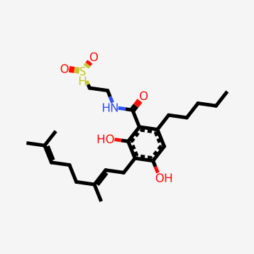 CCCCCc1cc(O)c(C/C=C(\C)CCC=C(C)C)c(O)c1C(=O)NCC[SH](=O)=O